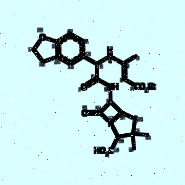 CCOC(=O)C=C(C)NC(C(=O)NC1C(=O)N2C1SC(C)(C)C2C(=O)O)c1ccc2c(c1)CCO2